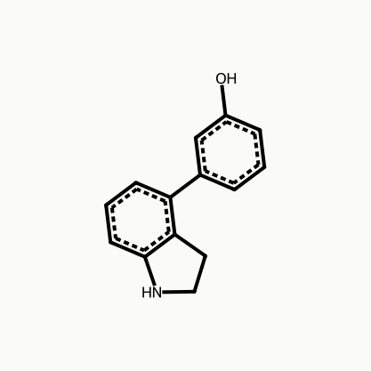 Oc1cccc(-c2cccc3c2CCN3)c1